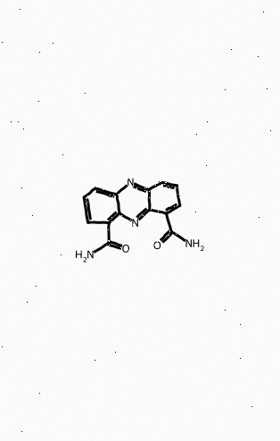 NC(=O)c1cccc2nc3cccc(C(N)=O)c3nc12